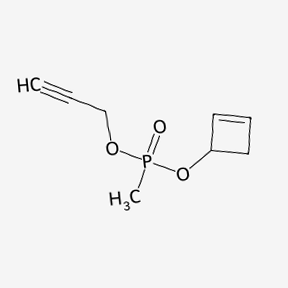 C#CCOP(C)(=O)OC1C=CC1